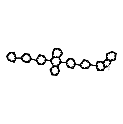 c1ccc(-c2ccc(-c3ccc(-c4c5ccccc5c(-c5ccc(-c6ccc(-c7ccc8[nH]c9ccccc9c8c7)cc6)cc5)c5ccccc45)cc3)cc2)cc1